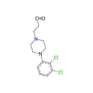 O=CCCN1CCN(c2cccc(Cl)c2Cl)CC1